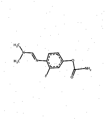 CN(C)C=Nc1ccc(OC(N)=O)cc1F